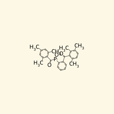 Cc1cc(C)c(C(=O)[P](=O)c2ccccc2C(=O)c2c(C)ccc(C)c2C)c(C)c1